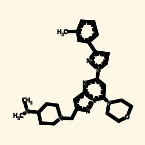 Cc1cccc(-c2ccn(-c3cc(N4CCOCC4)n4nc(CN5CCC(N(C)C)CC5)cc4n3)n2)c1